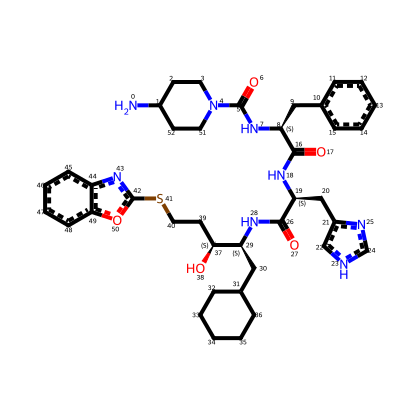 NC1CCN(C(=O)N[C@@H](Cc2ccccc2)C(=O)N[C@@H](Cc2c[nH]cn2)C(=O)N[C@@H](CC2CCCCC2)[C@@H](O)CCSc2nc3ccccc3o2)CC1